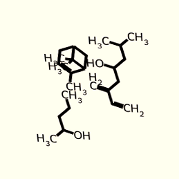 C=CC(=C)CC(O)CC(C)C.CC1=CCC2CC1C2(C)C.CCCC(C)O